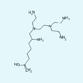 C=C(O)CCCCC(N)CN(CCN)CCN(CCN)CCN